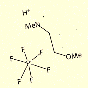 CNCCOC.F[P-](F)(F)(F)(F)F.[H+]